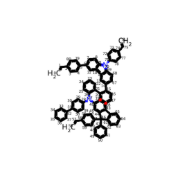 C=Cc1ccc(-c2ccc3c(c2)c2cc(-c4ccccc4-c4ccccc4N(c4ccc(-c5ccccc5)cc4)c4ccc5c(c4)C(c4ccccc4)(c4ccc(C=C)cc4)c4ccccc4-5)ccc2n3-c2ccc(C=C)cc2)cc1